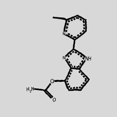 Cc1cccc(-c2nc3c(OC(N)=O)cccc3[nH]2)n1